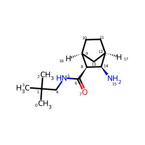 CC(C)(C)CNC(=O)[C@H]1[C@H]2CC[C@H](C2)[C@H]1N